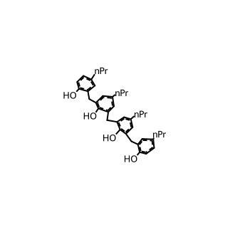 CCCc1ccc(O)c(Cc2cc(CCC)cc(Cc3cc(CCC)cc(Cc4cc(CCC)ccc4O)c3O)c2O)c1